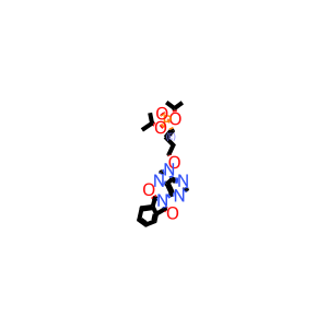 CC(C)OP(=O)(/C=C/CCOn1cnc2c(N3C(=O)c4ccccc4C3=O)ncnc21)OC(C)C